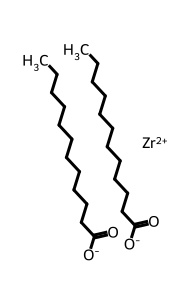 CCCCCCCCCCCC(=O)[O-].CCCCCCCCCCCC(=O)[O-].[Zr+2]